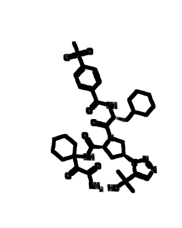 CC(C)(O)c1cnnn1[C@H]1C[C@@H](C(=O)NC2(C(=O)C(N)=O)CCCCC2)N(C(=O)[C@@H](CC2CCCCC2)NC(=O)c2ccc(S(C)(=O)=O)cc2)C1